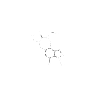 CCCn1ncc2c3c(cc(Cl)c21)CC(CC(=O)O)C(=O)N(CC(F)(F)F)C3